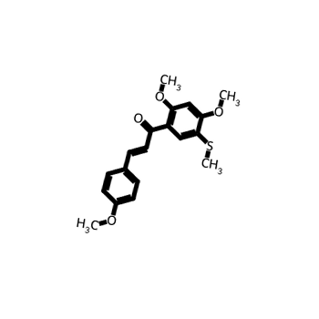 COc1ccc(/C=C/C(=O)c2cc(SC)c(OC)cc2OC)cc1